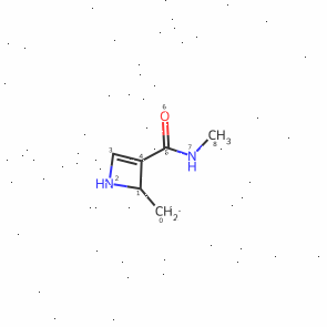 [CH2]C1NC=C1C(=O)NC